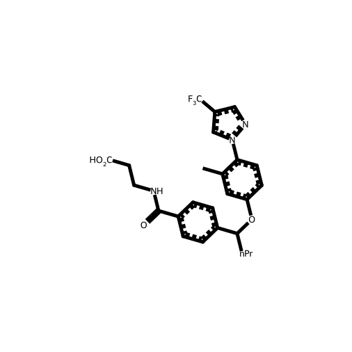 CCCC(Oc1ccc(-n2cc(C(F)(F)F)cn2)c(C)c1)c1ccc(C(=O)NCCC(=O)O)cc1